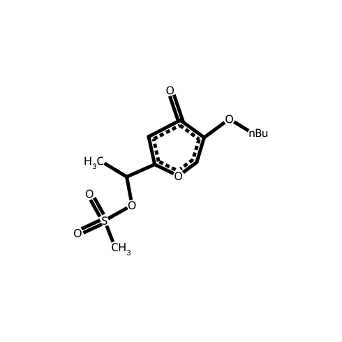 CCCCOc1coc(C(C)OS(C)(=O)=O)cc1=O